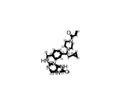 C=CC(=O)N1CCN([C@@H](CC2CC2)c2ccc([C@H](C)Nc3ncc4[nH]c(=O)[nH]c4n3)cc2)CC1